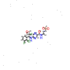 C[C@H](/C=C/S(C)(=O)=O)NC(=O)c1cnc(NC(c2cccc(F)c2Cl)C2(F)COC2)cn1